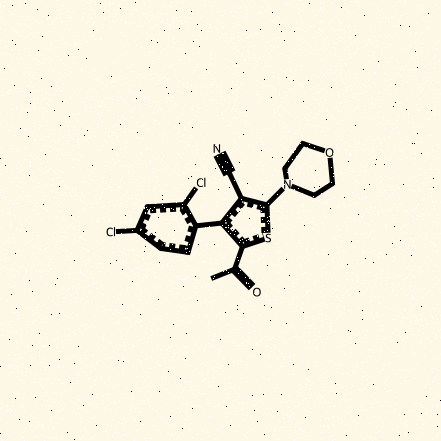 CC(=O)c1sc(N2CCOCC2)c(C#N)c1-c1ccc(Cl)cc1Cl